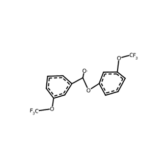 [O]C(Oc1cccc(OC(F)(F)F)c1)c1cccc(OC(F)(F)F)c1